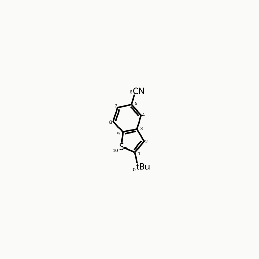 CC(C)(C)c1cc2cc(C#N)ccc2s1